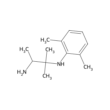 Cc1cccc(C)c1NC(C)(C)C(C)N